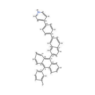 Cc1cccc(-c2c3ccccc3c(-c3ccc4ccc(-c5ccc(-c6ccncc6)cc5)cc4c3)c3ccccc23)c1